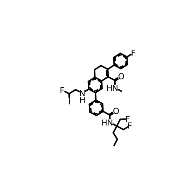 CCCC(CF)(CF)NC(=O)c1cccc(-c2cc3c(cc2NCC(F)I)CCC(c2ccc(F)cc2)=C3C(=O)NC)c1